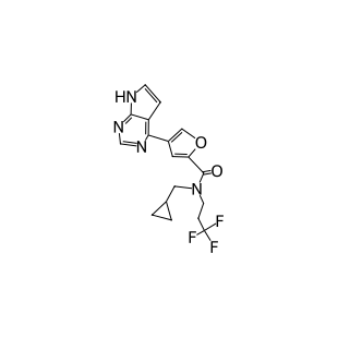 O=C(c1cc(-c2ncnc3[nH]ccc23)co1)N(CCC(F)(F)F)CC1CC1